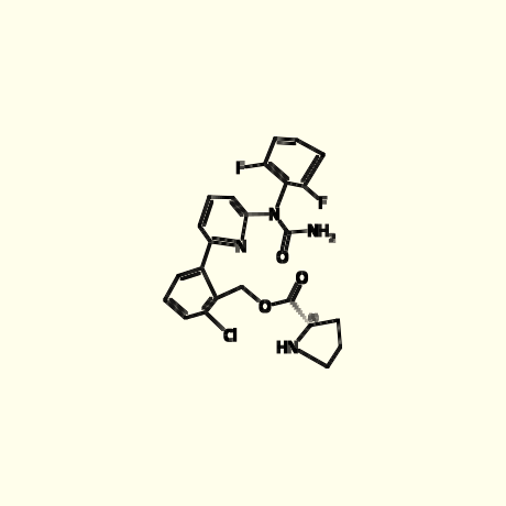 NC(=O)N(c1cccc(-c2cccc(Cl)c2COC(=O)[C@@H]2CCCN2)n1)c1c(F)cccc1F